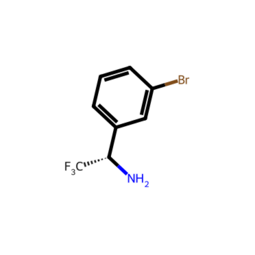 N[C@@H](c1cccc(Br)c1)C(F)(F)F